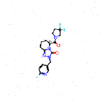 O=C([C@@H]1CCCc2nn(Cc3ccc(F)nc3)c(=O)n21)N1CCC(F)(F)C1